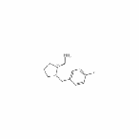 NC[C@@H]1CCCN1Cc1ccc(F)cc1